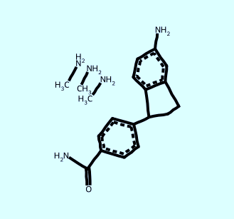 CN.CN.CN.NC(=O)c1ccc(C2CCc3cc(N)ccc32)cc1